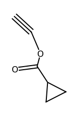 C#COC(=O)C1CC1